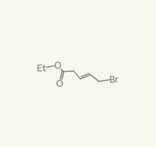 CCOC(=O)CC=CCBr